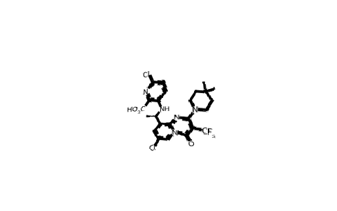 C[C@@H](Nc1ccc(Cl)nc1C(=O)O)c1cc(Cl)cn2c(=O)c(C(F)(F)F)c(N3CCC(C)(C)CC3)nc12